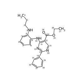 CCCNc1ccccc1Nc1nc(-c2ccccc2)ncc1C(=O)OCC